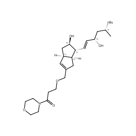 CCCC[C@H](C)C[C@H](O)/C=C/[C@@H]1[C@H]2CC(COCCC(=O)N3CCOCC3)=C[C@H]2C[C@H]1O